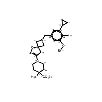 CCOC(=O)C1(C)CCN(C2=NOC3(C2)CN(Cc2cc(OCC)c(I)c(C4CC4)c2)C3)CC1